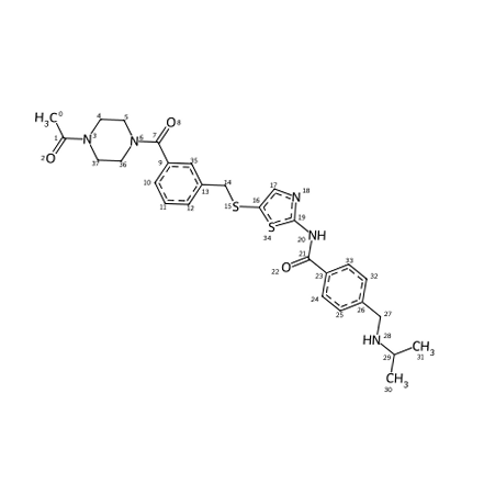 CC(=O)N1CCN(C(=O)c2cccc(CSc3cnc(NC(=O)c4ccc(CNC(C)C)cc4)s3)c2)CC1